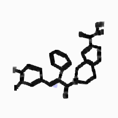 O=C(NO)c1ccc2c(c1)CN(C(=O)/C(=C/c1ccc(F)c(F)c1)c1ccccc1)CC2